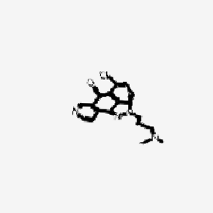 CN(C)CCCn1nc2c3c(c(Cl)ccc31)C(=O)c1cnccc1-2